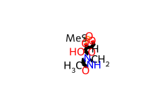 C=C1NC(=O)C(C)=CN1[C@@H]1O[C@@H]2COP(=O)(SC)OC2C1O